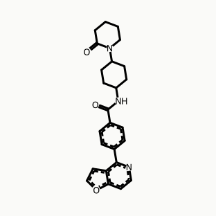 O=C(NC1CCC(N2CCCCC2=O)CC1)c1ccc(-c2nccc3occc23)cc1